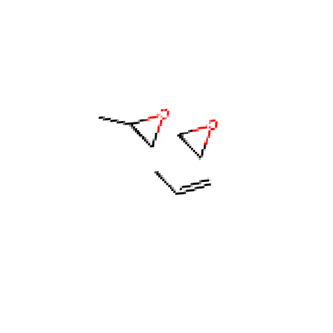 C1CO1.C=CC.CC1CO1